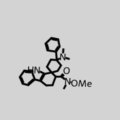 CON(C)C(=O)C1CCc2c([nH]c3ccccc23)C12CCC(c1ccccc1)(N(C)C)CC2